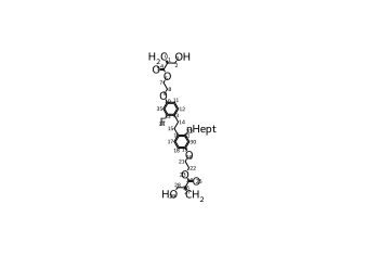 C=C(CO)C(=O)OCCOc1ccc(CCc2ccc(OCCOC(=O)C(=C)CO)cc2CCCCCCC)c(F)c1